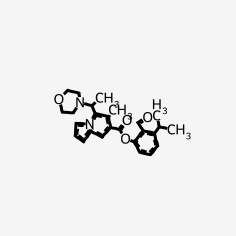 Cc1c(C(=O)Oc2cccc(C(C)C)c2C=O)cc2cccn2c1C(C)N1CCOCC1